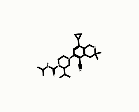 CC(C)NC(=O)N1CCN(c2cc(C3CC3)c3c(c2C#N)CC(C)(C)OC3)CC1C(C)C